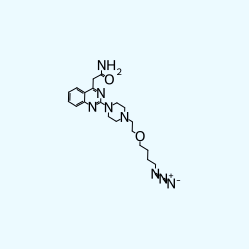 [N-]=[N+]=NCCCCOCCN1CCN(c2nc(CC(N)=O)c3ccccc3n2)CC1